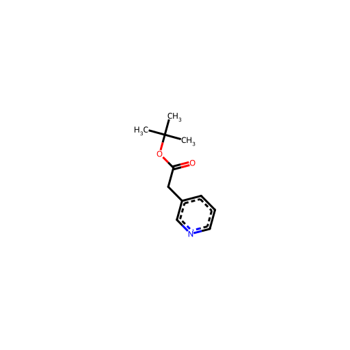 CC(C)(C)OC(=O)Cc1cccnc1